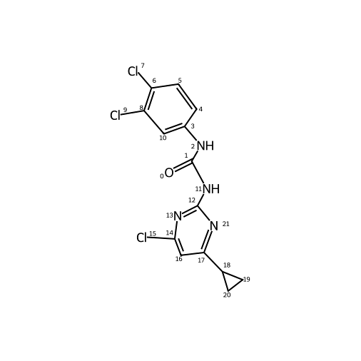 O=C(Nc1ccc(Cl)c(Cl)c1)Nc1nc(Cl)cc(C2CC2)n1